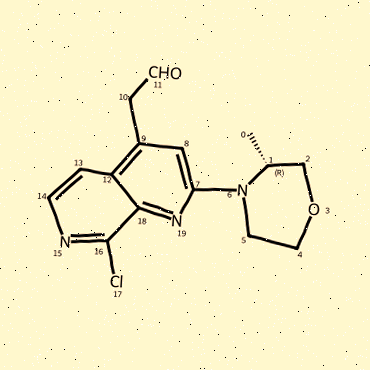 C[C@@H]1COCCN1c1cc(CC=O)c2ccnc(Cl)c2n1